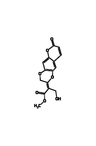 COC(=O)/C(CO)=C1\COc2cc3oc(=O)ccc3cc2O1